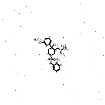 COc1cccc(C2(O)CCN(S(=O)(=O)Cc3ccccc3F)CC2CN(C)C)c1.Cl